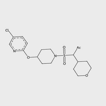 CC(=O)C(C1CCOCC1)S(=O)(=O)N1CCC(Oc2ccc(Cl)cn2)CC1